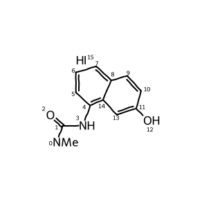 CNC(=O)Nc1cccc2ccc(O)cc12.I